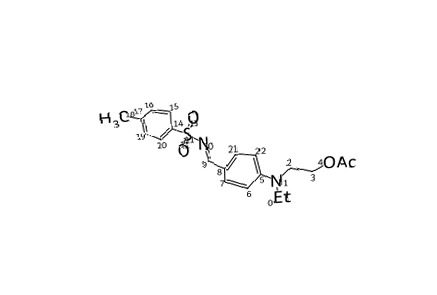 CCN(CCOC(C)=O)c1ccc(C=NS(=O)(=O)c2ccc(C)cc2)cc1